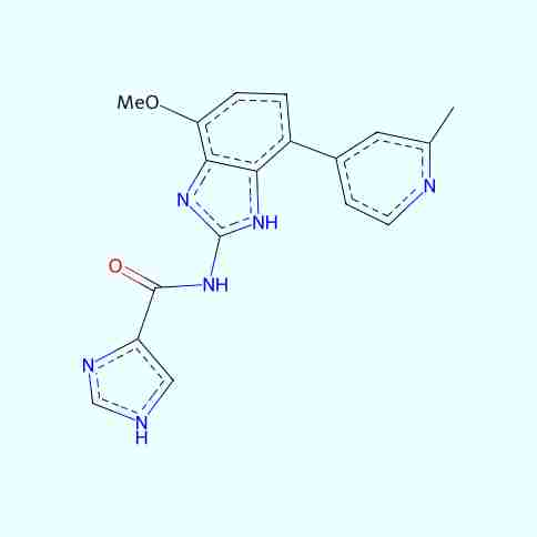 COc1ccc(-c2ccnc(C)c2)c2[nH]c(NC(=O)c3c[nH]cn3)nc12